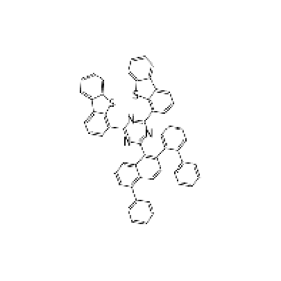 c1ccc(-c2ccccc2-c2ccc3c(-c4ccccc4)cccc3c2-c2nc(-c3cccc4c3sc3ccccc34)nc(-c3cccc4c3sc3ccccc34)n2)cc1